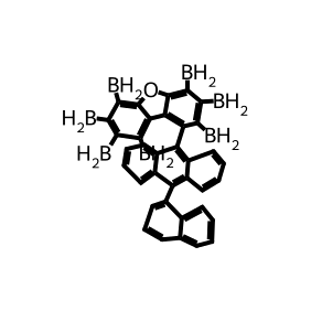 Bc1c(B)c(B)c2c(oc3c(B)c(B)c(B)c(-c4c5ccccc5c(-c5cccc6ccccc56)c5ccccc45)c32)c1B